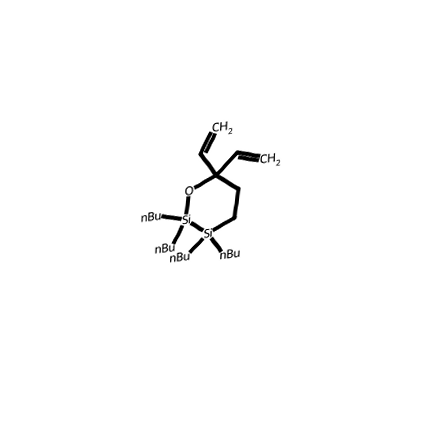 C=CC1(C=C)CC[Si](CCCC)(CCCC)[Si](CCCC)(CCCC)O1